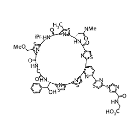 CNC(=O)C[C@@H]1NC(=O)c2csc(n2)-c2ccc(-c3nc(-n4cnc(C(=O)NCC(=O)O)c4)cs3)nc2-c2csc(n2)-c2csc(n2)[C@H]([C@@H](O)c2ccccc2)NC(=O)CNC(=O)c2nc(sc2COC)[C@H](C(C)C)NC(=O)c2nc1sc2C